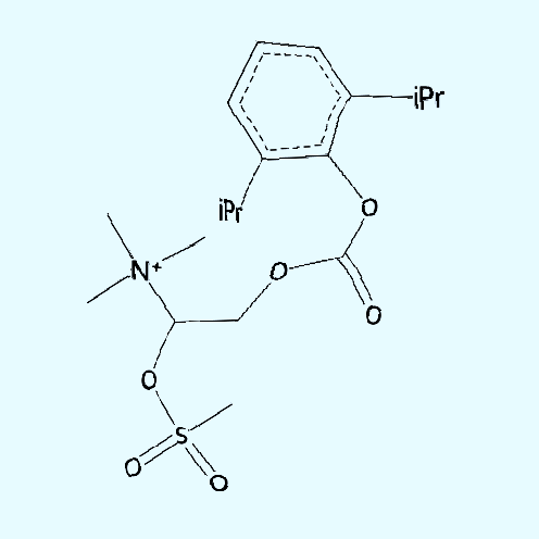 CC(C)c1cccc(C(C)C)c1OC(=O)OCC(OS(C)(=O)=O)[N+](C)(C)C